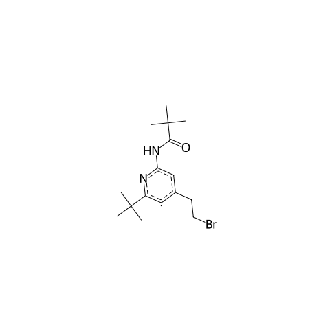 CC(C)(C)C(=O)Nc1cc(CCBr)[c]c(C(C)(C)C)n1